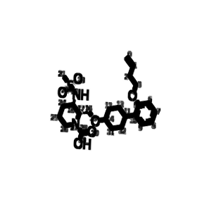 C=CCCOc1ccccc1C1CCC(OC[C@H]2[C@@H](NS(C)(=O)=O)CCCN2C(=O)O)CC1